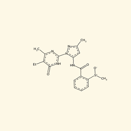 CCc1c(C)nc(-n2nc(C)cc2NC(=O)c2ccccc2[S+](C)[O-])[nH]c1=O